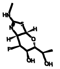 CNC1=N[C@@H]2[C@H](F)[C@H](O)[C@@H]([C@@H](C)O)O[C@@H]2S1